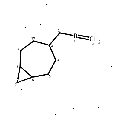 C=BCC1CCC2CC2CC1